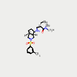 CC(C)(C)C[C@@H](CN[C@@H]1CC[C@H]2CN(S(=O)(=O)c3cccc(C(F)(F)F)c3)C[C@H]21)C(=O)N(C(=O)O)C(C)(C)C